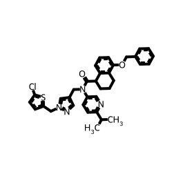 CC(C)c1ccc(N(Cc2cnn(Cc3ccc(Cl)s3)c2)C(=O)C2CCCc3c(OCc4ccccc4)cccc32)cn1